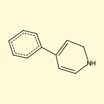 C1=CC(c2ccccc2)=CCN1